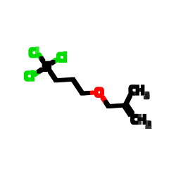 C=C(C)COCCC[Si](Cl)(Cl)Cl